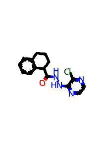 O=C(NNc1nccnc1Cl)C1CCCc2ccccc21